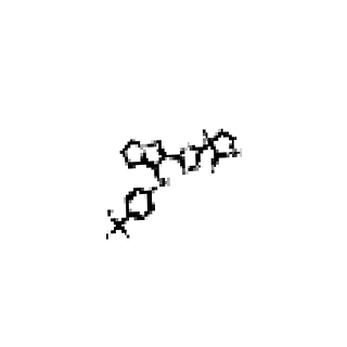 C[C@@]1(c2nnc(-c3nn4c(c3Nc3ccc(C(F)(F)F)cc3)CCC4)o2)CCNC1=O